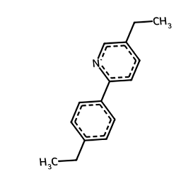 CCc1ccc(-c2ccc(CC)cn2)cc1